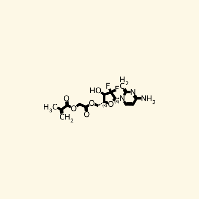 C=C(C)C(=O)OCC(=O)OC[C@H]1O[C@@H](N2C=CC(N)=NC2=C)C(F)(F)C1O